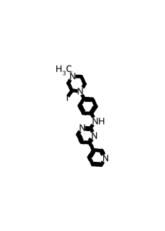 CN1CCN(c2ccc(Nc3nccc(-c4cccnc4)n3)cc2)C(I)C1